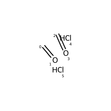 C=O.C=O.Cl.Cl